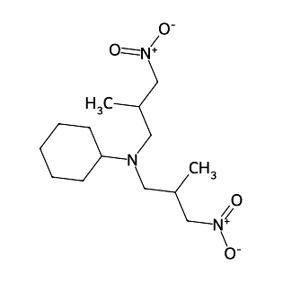 CC(CN(CC(C)C[N+](=O)[O-])C1CCCCC1)C[N+](=O)[O-]